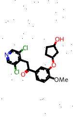 COc1ccc(C(=O)Cc2c(Cl)cncc2Cl)cc1OC1CCC(O)C1